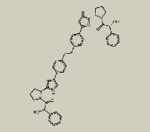 O=C(C(O)c1ccccc1)N1CCC[C@H]1c1nc(-c2ccc(CCc3ccc(-c4c[nH]c([C@@H]5CCCN5C(=O)[C@H](O)c5ccccc5)n4)cc3)cc2)c[nH]1